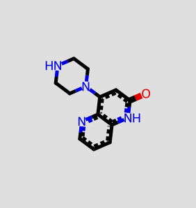 O=c1cc(N2CCNCC2)c2ncccc2[nH]1